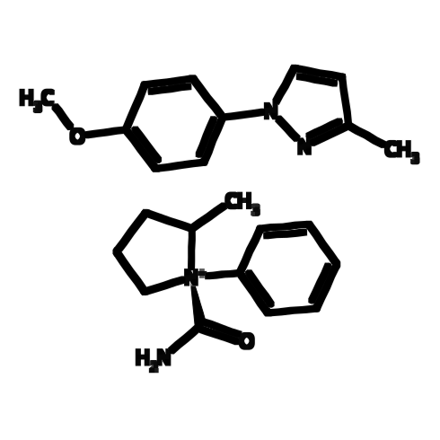 CC1CCC[N@@+]1(C(N)=O)c1ccccc1.COc1ccc(-n2ccc(C)n2)cc1